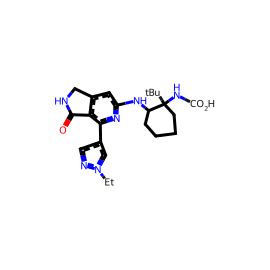 CCn1cc(-c2nc(NC3CCCCC3(NC(=O)O)C(C)(C)C)cc3c2C(=O)NC3)cn1